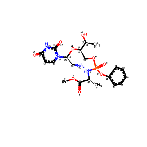 CC(C)OC(=O)[C@@H](C)NP(=O)(OC[C@@H](O[C@H](CN)n1ccc(=O)[nH]c1=O)[C@H](C)O)Oc1ccccc1